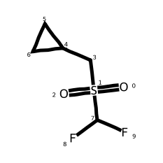 O=S(=O)(C[C]1CC1)C(F)F